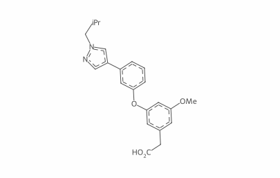 COc1cc(CC(=O)O)cc(Oc2cccc(-c3cnn(CC(C)C)c3)c2)c1